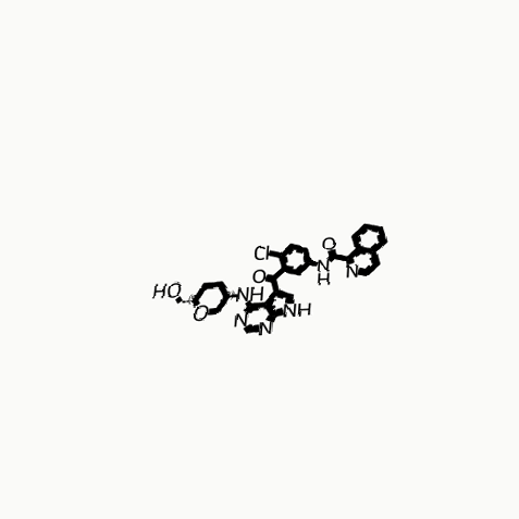 O=C(Nc1ccc(Cl)c(C(=O)c2c[nH]c3ncnc(N[C@@H]4CC[C@@H](CO)OC4)c23)c1)c1nccc2ccccc12